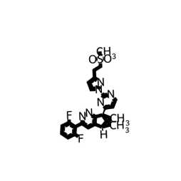 CC1(C)[C@H]2CC[C@@]1(c1ccnc(-n3ccc(CCS(C)(=O)=O)n3)n1)c1nnc(-c3c(F)cccc3F)cc12